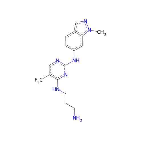 Cn1ncc2ccc(Nc3ncc(C(F)(F)F)c(NCCCN)n3)cc21